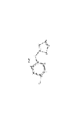 Cc1ccc(CC2=CC=CC2)cc1.[V]